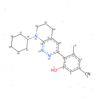 Cc1cc(C#N)cc(O)c1-c1cc2c(nn1)N(C1CCCCC1)CCC2